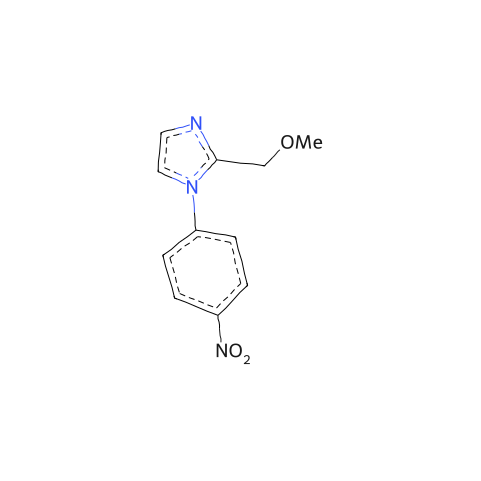 COCc1nccn1-c1ccc([N+](=O)[O-])cc1